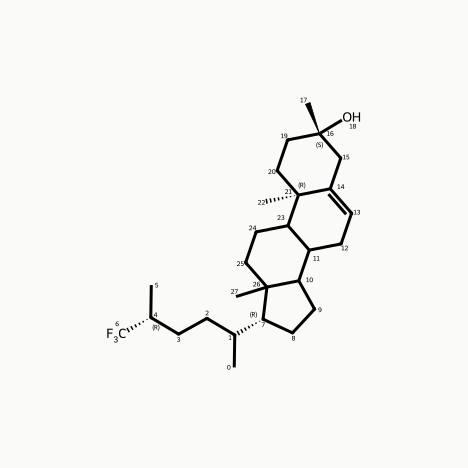 CC(CC[C@@H](C)C(F)(F)F)[C@H]1CCC2C3CC=C4C[C@@](C)(O)CC[C@]4(C)C3CCC21C